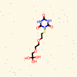 O=c1[nH]c(=O)n(SCCOCCOCC(O)(O)O)c(=O)[nH]1